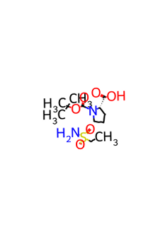 CC(C)(C)OC(=O)N1CCC[C@H]1C(=O)O.CCS(N)(=O)=O